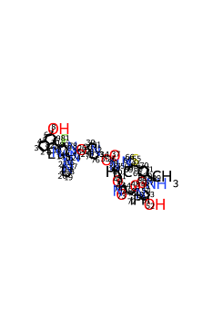 CCc1cccc2cc(O)cc(-c3ncc4c(N5CC6CCC(C5)N6)nc(OC[C@]56CCCN5[C@H](COC(=O)N5CC(COc7cc([C@H](C(=O)N8C[C@H](O)C[C@H]8C(=O)N[C@@H](C)c8ccc(-c9scnc9C)cc8)C(C)C)on7)C5)CC6)nc4c3F)c12